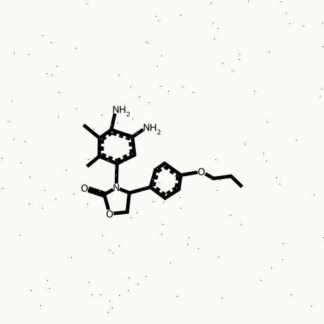 CCCOc1ccc(C2COC(=O)N2c2cc(N)c(N)c(C)c2C)cc1